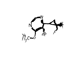 COc1ncnc(C2CC2(F)F)c1Br